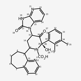 O=C(O)N1C(C2CCCCc3cccnc32)CC(n2c(=O)[nH]c3ncccc32)C(=O)[C@]1(O)c1cccc(F)c1F